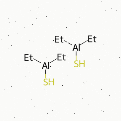 C[CH2][Al]([SH])[CH2]C.C[CH2][Al]([SH])[CH2]C